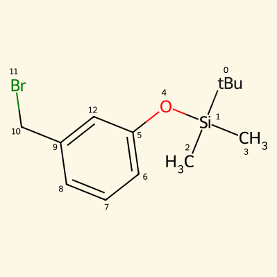 CC(C)(C)[Si](C)(C)Oc1cccc(CBr)c1